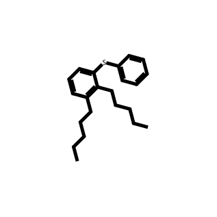 CCCCCc1cccc(Sc2ccccc2)c1CCCCC